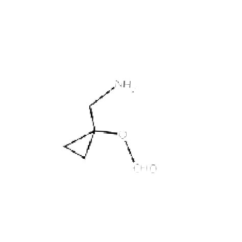 NCC1(OC=O)CC1